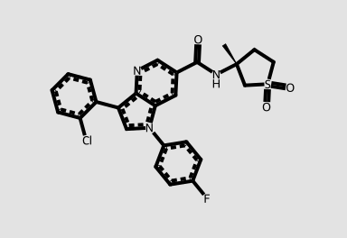 C[C@@]1(NC(=O)c2cnc3c(-c4ccccc4Cl)cn(-c4ccc(F)cc4)c3c2)CCS(=O)(=O)C1